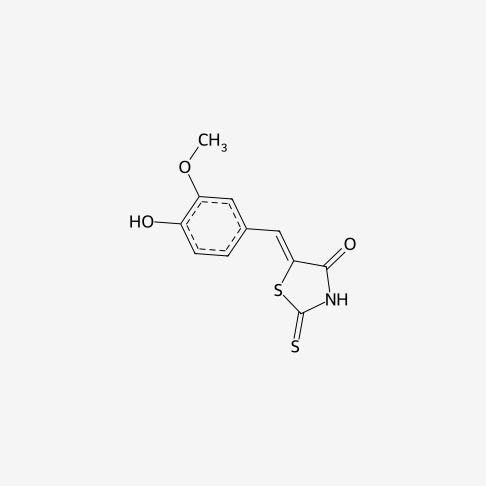 COc1cc(/C=C2\SC(=S)NC2=O)ccc1O